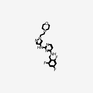 Fc1cc(F)c(CNc2ccnc(Nc3cnn(CCN4CCOCC4)c3)n2)c(F)c1